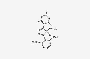 COc1cccc(OC)c1C(=O)P(=O)(CC(C)C)C(=O)c1c(C)cc(C)cc1C